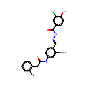 COc1cc(NC(=O)Cc2ccccc2C(F)(F)F)ccc1C=NNC(=O)c1ccc(O)c(Cl)c1